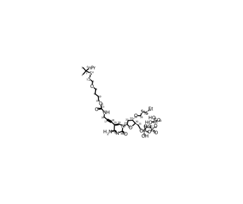 CCCC(C)(C)SSCOCCCCOC(=O)NCC#Cc1cn([C@H]2C[C@H](OCSSCC)[C@@H](COP(=O)(O)OP(=O)(O)OP(=O)(O)O)O2)c(=O)nc1N